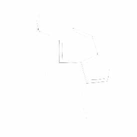 COc1csc2ccc(C(=O)O)c(Cl)c12.Cl